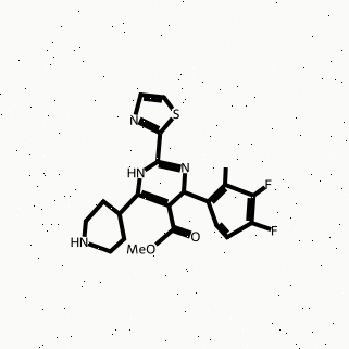 COC(=O)C1=C(C2CCNCC2)NC(c2nccs2)=NC1c1ccc(F)c(F)c1C